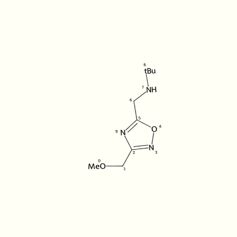 COCc1noc(CNC(C)(C)C)n1